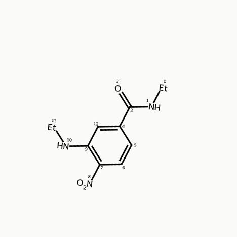 CCNC(=O)c1ccc([N+](=O)[O-])c(NCC)c1